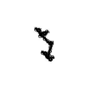 COc1cccc(CN(Cc2cccc(OC)c2)C(=O)OCCOCCOCc2cncc(COCCOCCOC(=O)N(Cc3cccc(OC)c3)Cc3cccc(OC)c3)c2)c1